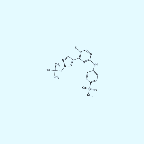 CC(C)(O)Cn1cc(-c2nc(Nc3ccc(S(N)(=O)=O)cc3)ncc2F)cn1